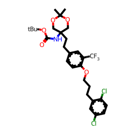 CC(C)(C)OC(=O)NC1(CCc2ccc(OCCCc3cc(Cl)ccc3Cl)c(C(F)(F)F)c2)COC(C)(C)OC1